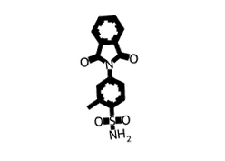 Cc1cc(N2C(=O)c3ccccc3C2=O)ccc1S(N)(=O)=O